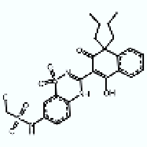 CCCC1(CCC)C(=O)C(C2=NS(=O)(=O)c3cc(NS(=O)(=O)CCl)ccc3N2)=C(O)c2ccccc21